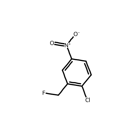 O=[N+]([O-])c1ccc(Cl)c(CF)c1